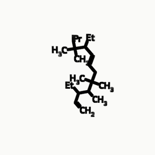 C=CC(CC)C(C)C(C)(C)CC=CC(CC)C(C)(C)C(C)C